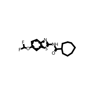 O=C(Nc1nc2ccc(OC(F)F)cc2s1)C1CCCCCCC1